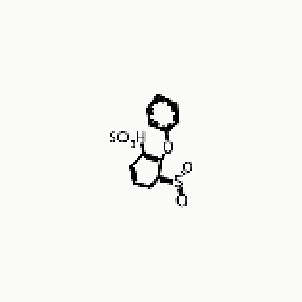 O=S(=O)=C1CC=CC(S(=O)(=O)O)=C1Oc1ccccc1